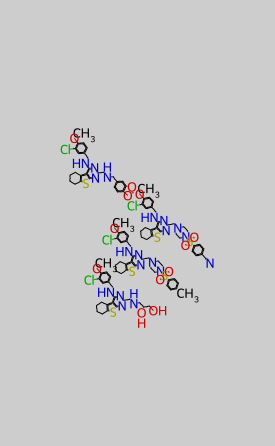 COc1ccc(CNc2nc(CN3CCN(S(=O)(=O)c4ccc(C#N)cc4)CC3)nc3sc4c(c23)CCCC4)cc1Cl.COc1ccc(CNc2nc(CN3CCN(S(=O)(=O)c4ccc(C)cc4)CC3)nc3sc4c(c23)CCCC4)cc1Cl.COc1ccc(CNc2nc(CNCC(O)CO)nc3sc4c(c23)CCCC4)cc1Cl.COc1ccc(CNc2nc(CNCc3ccc4c(c3)OCO4)nc3sc4c(c23)CCCC4)cc1Cl